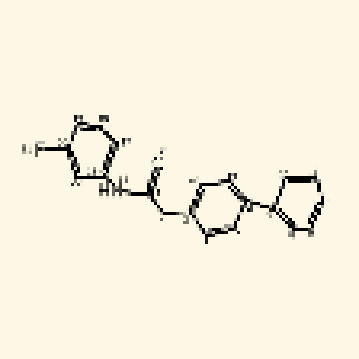 O=C(Cc1ccc(-c2ccccc2)cc1)Nc1cccc(F)c1